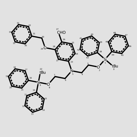 CC(C)(C)[Si](OCCN(CCO[Si](c1ccccc1)(c1ccccc1)C(C)(C)C)c1ccc(C=O)c(OCc2ccccc2)c1)(c1ccccc1)c1ccccc1